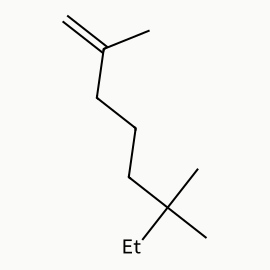 C=C(C)CCCC(C)(C)CC